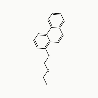 CCOCOc1cccc2c1ccc1ccccc12